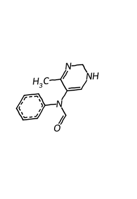 CC1=NCNC=C1N(C=O)c1ccccc1